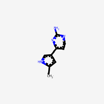 [CH2]c1cc(-c2ccnc(N)n2)c[nH]1